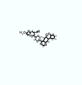 Cc1coc(/C=C(/C#N)C(=O)N2CCN(c3ncnc4cc(-c5ccccc5F)c(Cl)cc34)CC2)n1